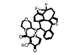 O=C1c2c(O)c(=O)ccn2N(C2c3ccccc3-c3scc4c3-c3c2ccc(F)c3C(F)(F)CC4)C2COCCN12